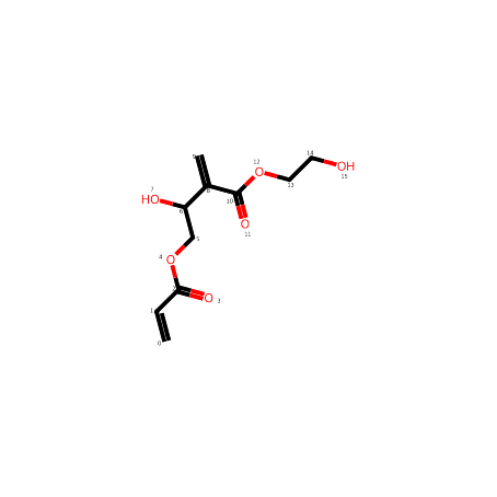 C=CC(=O)OCC(O)C(=C)C(=O)OCCO